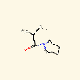 CC(C)C(=O)N1[CH]CCC1